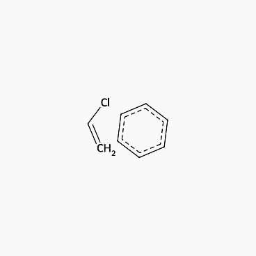 C=CCl.c1ccccc1